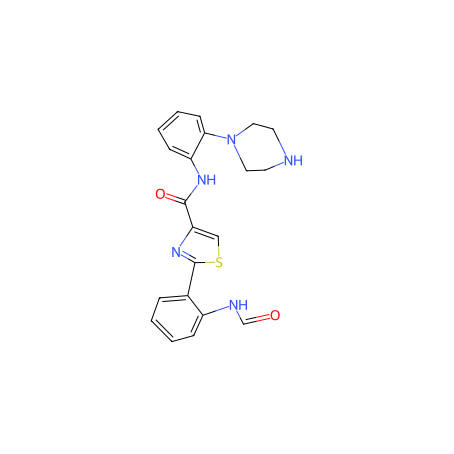 O=CNc1ccccc1-c1nc(C(=O)Nc2ccccc2N2CCNCC2)cs1